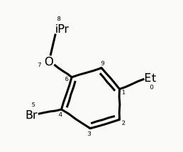 CCc1ccc(Br)c(OC(C)C)c1